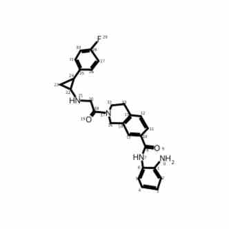 Nc1ccccc1NC(=O)c1ccc2c(c1)CN(C(=O)CNC1CC1c1ccc(F)cc1)CC2